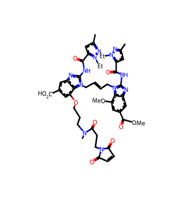 CCn1nc(C)cc1C(=O)Nc1nc2cc(C(=O)OC)cc(OC)c2n1C/C=C/Cn1c(NC(=O)c2cc(C)nn2CC)nc2cc(C(=O)O)cc(OCCCN(C)C(=O)CCN3C(=O)C=CC3=O)c21